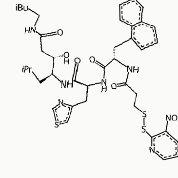 CCC(C)CNC(=O)C[C@H](O)[C@H](CC(C)C)NC(=O)C(Cc1cscn1)NC(=O)[C@H](Cc1cccc2ccccc12)NC(=O)CCSSc1ncccc1[N+](=O)[O-]